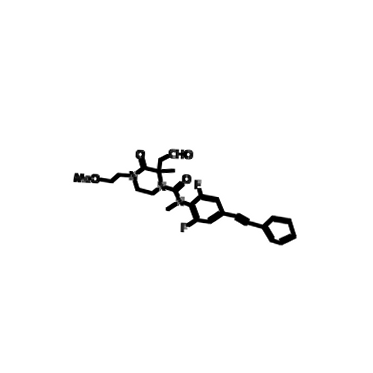 COCCN1CCN(C(=O)N(C)c2c(F)cc(C#Cc3ccccc3)cc2F)C(C)(CC=O)C1=O